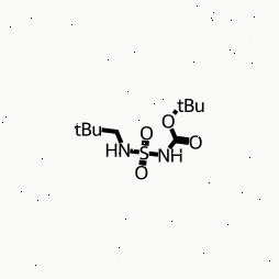 CC(C)(C)CNS(=O)(=O)NC(=O)OC(C)(C)C